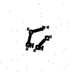 OCl.OOF